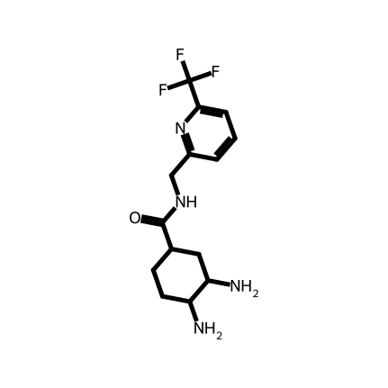 NC1CCC(C(=O)NCc2cccc(C(F)(F)F)n2)CC1N